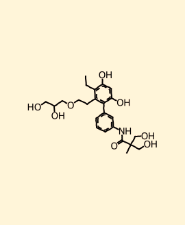 CCc1c(O)cc(O)c(-c2cccc(NC(=O)C(C)(CO)CO)c2)c1CCOCC(O)CO